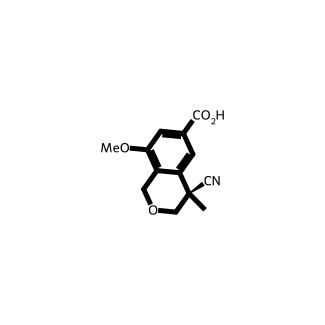 COc1cc(C(=O)O)cc2c1COC[C@]2(C)C#N